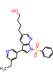 CCc1cncc(-c2cn(S(=O)(=O)c3ccccc3)c3ncc(CCCCO)cc23)c1